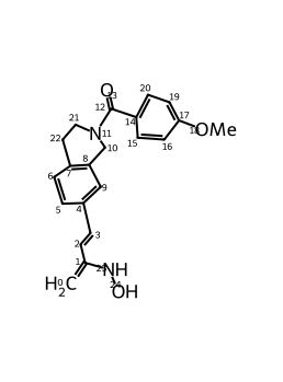 C=C(/C=C/c1ccc2c(c1)CN(C(=O)c1ccc(OC)cc1)CC2)NO